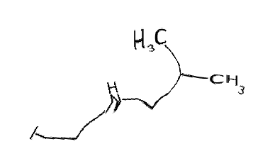 CC(C)CNCI